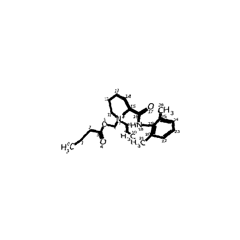 CCCC(=O)OC[N+]1(CCC)CCCCC1C(=O)Nc1c(C)cccc1C